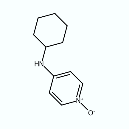 [O-][n+]1ccc(NC2CCCCC2)cc1